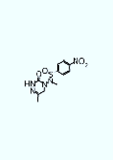 CC1=NNC(=O)N(N(C)[S+]([O-])c2ccc([N+](=O)[O-])cc2)C1